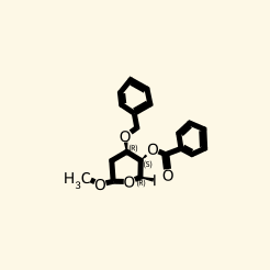 COC1C[C@@H](OCc2ccccc2)[C@H](OC(=O)c2ccccc2)[C@@H](I)O1